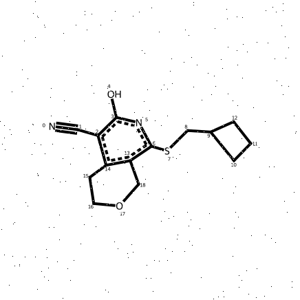 N#Cc1c(O)nc(SCC2CCC2)c2c1CCOC2